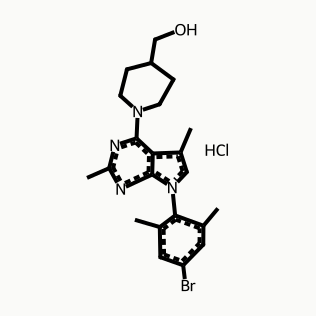 Cc1nc(N2CCC(CO)CC2)c2c(C)cn(-c3c(C)cc(Br)cc3C)c2n1.Cl